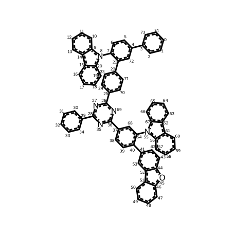 c1ccc(-c2ccc(-n3c4ccccc4c4ccccc43)c(-c3ccc(-c4nc(-c5ccccc5)nc(-c5ccc(-c6ccc7oc8ccccc8c7c6)c(-n6c7ccccc7c7ccccc76)c5)n4)cc3)c2)cc1